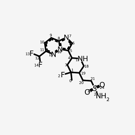 CC1(F)CC(c2cnc3ccc(C(F)F)nn23)NCC1CCS(N)(=O)=O